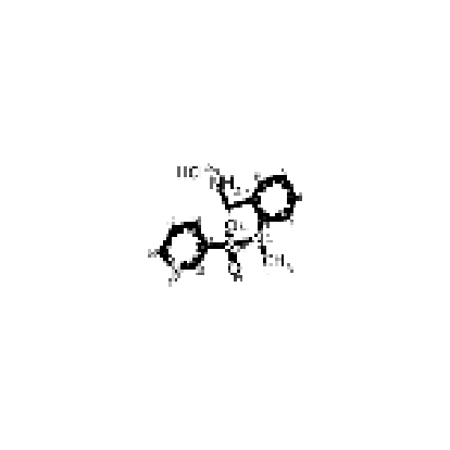 CN(c1ccccc1CN)S(=O)(=O)c1cccnc1.Cl